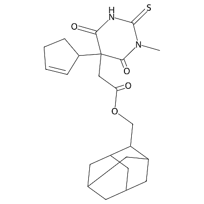 CN1C(=O)C(CC(=O)OCC2C3CC4CC(C3)CC2C4)(C2C=CCC2)C(=O)NC1=S